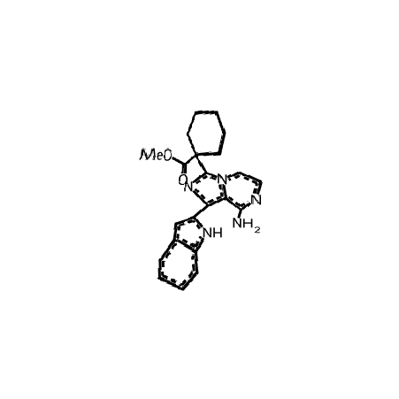 COC(=O)C1(c2nc(-c3cc4ccccc4[nH]3)c3c(N)nccn23)CCCCC1